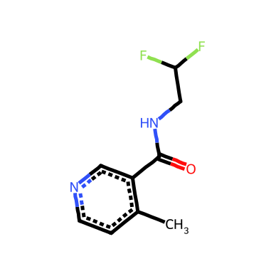 Cc1ccncc1C(=O)NCC(F)F